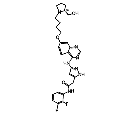 O=C(Cc1cc(Nc2ncnc3cc(OCCCCN4CCC[C@H]4CO)ccc23)n[nH]1)Nc1cccc(F)c1F